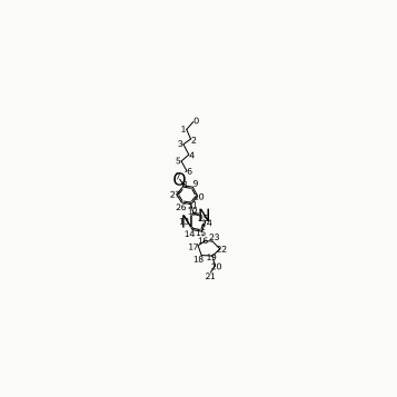 CCCCCCCOc1ccc(-c2ncc([C@H]3CC[C@H](CC)CC3)cn2)cc1